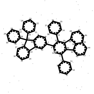 c1ccc(-c2nc(-c3ccc4c(c3)-c3ccccc3C4(c3ccccc3)c3ccccc3)c(-c3ccccc3)c3c2-c2cccc4cccc-3c24)cc1